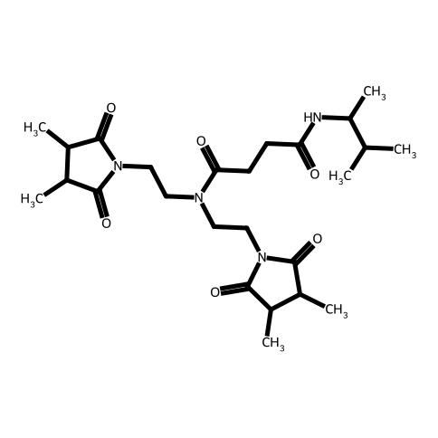 CC(C)C(C)NC(=O)CCC(=O)N(CCN1C(=O)C(C)C(C)C1=O)CCN1C(=O)C(C)C(C)C1=O